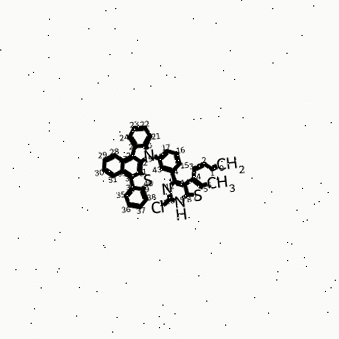 C=C/C=C\C1=C(C)SC2NC(Cl)=NC(c3cccc(-n4c5ccccc5c5c6ccccc6c6c7ccccc7sc6c54)c3)=C12